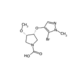 CO[C@H]1CN(C(=O)O)C[C@H]1Oc1cnn(C)c1Br